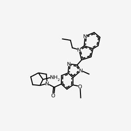 CCCn1c(-c2nc3cc(C(=O)N4CC5CCC4C5N)cc(OC)c3n2C)cc2cccnc21